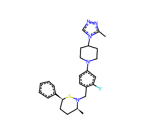 Cc1nncn1C1CCN(c2ccc(CN3S[C@H](c4ccccc4)CC[C@@H]3C)c(F)c2)CC1